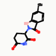 CC(C)(C)c1ccc2c(c1)BN(C1CCC(=O)NC1=O)C2=O